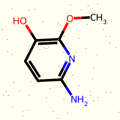 COc1nc(N)ccc1O